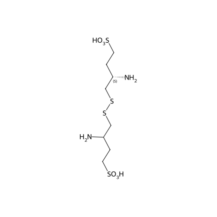 NC(CCS(=O)(=O)O)CSSC[C@@H](N)CCS(=O)(=O)O